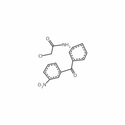 NC(=O)CCl.O=C(c1ccccc1)c1cccc([N+](=O)[O-])c1